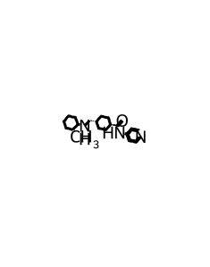 CC1CCCCC1NC[C@H]1CC[C@H](C(=O)Nc2ccncc2)CC1